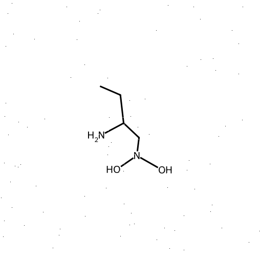 CCC(N)CN(O)O